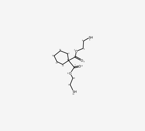 O=C(OCCS)C1(C(=O)OCCS)CCCCC1